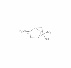 C[C@@H]1CC2OC1CC2(O)C(F)(F)F